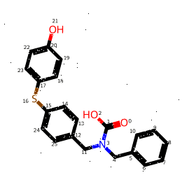 O=C(O)N(Cc1ccccc1)Cc1ccc(Sc2ccc(O)cc2)cc1